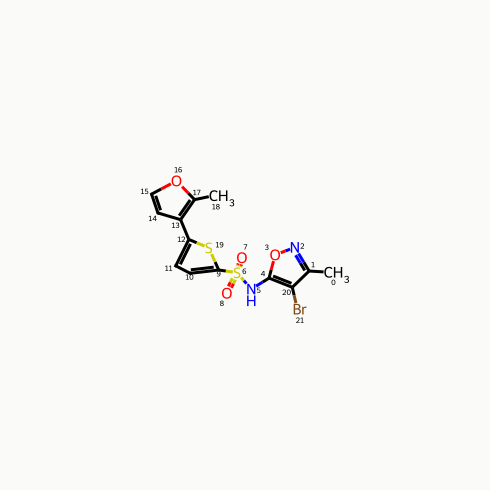 Cc1noc(NS(=O)(=O)c2ccc(-c3ccoc3C)s2)c1Br